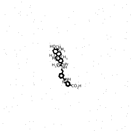 CCCC1(C(=O)NCCc2cccc(-c3nc4ccc(C(=O)O)cc4[nH]3)c2)CC[C@]2(C)C(CCC3C4(C)CCC(O)C(C)(C)C4CCC32C)C1C